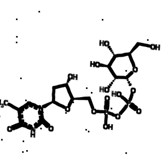 Cc1cn([C@H]2C[C@H](O)[C@@H](COP(=O)(O)OP(=O)(O)O[C@H]3O[C@H](CO)[C@@H](O)[C@H](O)[C@H]3O)O2)c(=O)[nH]c1=O